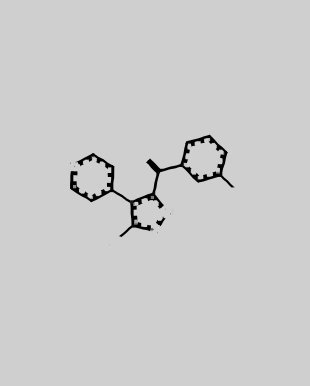 Cc1n[nH]c(C(=O)c2cccc(F)c2)c1-c1ccncc1